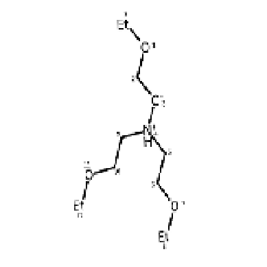 CCOC[CH-][NH+](CCOCC)CCOCC